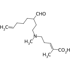 C=CCCCC(C=O)CCN(C)CCC=C(C)C(=O)O